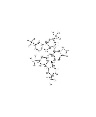 CC(C)(C)c1ccc2c(c1)-c1cc(C(C)(C)C)cc3c1C2B1c2c(cc4c(c2-3)CCC4)-n2c3ccc(C(C)(C)C)cc3c3cc(C(C)(C)C)cc1c32